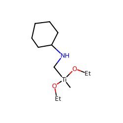 CC[O][Ti]([CH3])([CH2]NC1CCCCC1)[O]CC